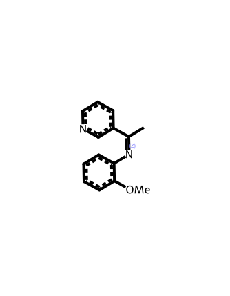 COc1ccccc1/N=C(/C)c1cccnc1